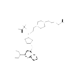 CCC(CC)c1cc(N[C@H]2CC[C@H](NCCN3CCN(CCOCC(=O)O)CC3)C2)n2nccc2n1.O=C(O)C(F)(F)F